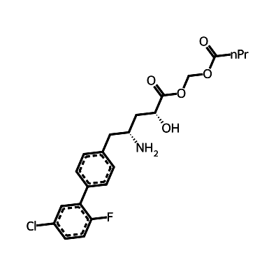 CCCC(=O)OCOC(=O)[C@H](O)C[C@H](N)Cc1ccc(-c2cc(Cl)ccc2F)cc1